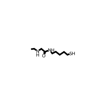 CCNCC(=O)NCCCCCS